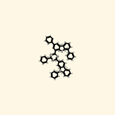 c1ccc(-c2cc(-c3nc(-c4ccccc4)nc(-c4ccc5c6ccccc6n(-c6ccccc6)c5c4)n3)c3sc4c(-c5ccccc5)cccc4c3c2)cc1